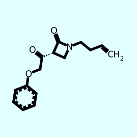 C=CCCN1C[C@H](C(=O)COc2ccccc2)C1=O